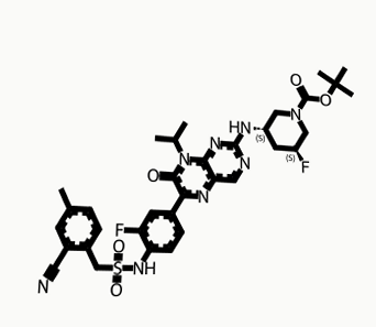 Cc1ccc(CS(=O)(=O)Nc2ccc(-c3nc4cnc(N[C@H]5C[C@H](F)CN(C(=O)OC(C)(C)C)C5)nc4n(C(C)C)c3=O)cc2F)c(C#N)c1